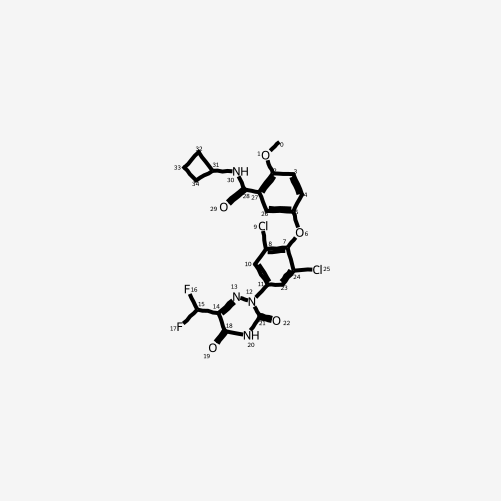 COc1ccc(Oc2c(Cl)cc(-n3nc(C(F)F)c(=O)[nH]c3=O)cc2Cl)cc1C(=O)NC1CCC1